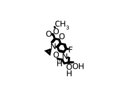 CCOC(=O)c1cn(C2CC2)c2c3c(c(F)cc2c1=O)N1C[C@](O)(CO)C[C@H]1CO3